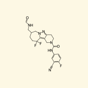 N#Cc1cc(NC(=O)N2CCc3nn4c(c3C2)C(F)(F)CCC(CNC=O)C4)ccc1F